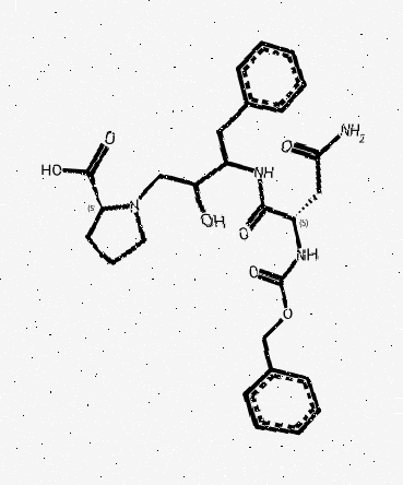 NC(=O)C[C@H](NC(=O)OCc1ccccc1)C(=O)NC(Cc1ccccc1)C(O)CN1CCC[C@H]1C(=O)O